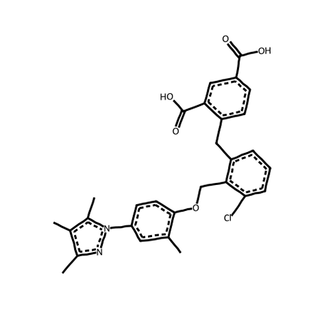 Cc1cc(-n2nc(C)c(C)c2C)ccc1OCc1c(Cl)cccc1Cc1ccc(C(=O)O)cc1C(=O)O